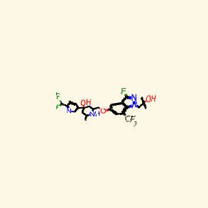 CC1CC(O)(c2ccc(C(F)F)nc2)CC(COc2cc(C(F)(F)F)c3c(c2)c(F)nn3CC(C)(C)O)N1